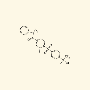 CC1CN(C(=O)C2(c3ccccc3)CC2)CCN1S(=O)(=O)c1ccc(C(C)(O)C(F)(F)F)cc1